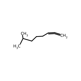 C=C=CCCCC(C)C